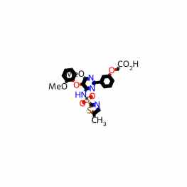 COc1ccccc1Oc1c(NS(=O)(=O)c2ncc(C)s2)nc(-c2cccc(OCC(=O)O)c2)nc1OC